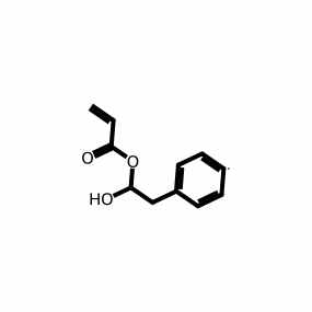 C=CC(=O)OC(O)Cc1cc[c]cc1